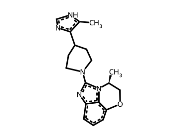 Cc1[nH]cnc1C1CCN(c2nc3cccc4c3n2[C@@H](C)CO4)CC1